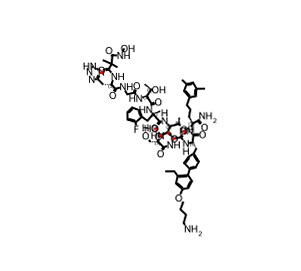 CCc1cc(OCCCCN)ccc1-c1ccc(C[C@H](NC(=O)[C@H](CC(=O)O)NC(=O)[C@H](CO)NC(=O)[C@@H](NC(=O)[C@](C)(Cc2ccccc2F)NC(=O)[C@@H](NC(=O)CNC(=O)[C@H](Cc2nn[nH]n2)NC(=O)C(C)(C)C(=O)NO)[C@@H](C)O)[C@@H](C)O)C(=O)N[C@@H](CCCc2cc(C)cc(C)c2)C(N)=O)cc1